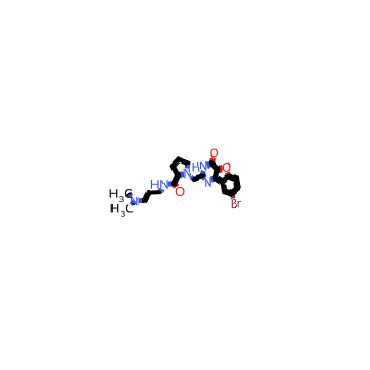 CN(C)CCCNC(=O)C1CCCN1Cc1nc2c(oc3ccc(Br)cc32)c(=O)[nH]1